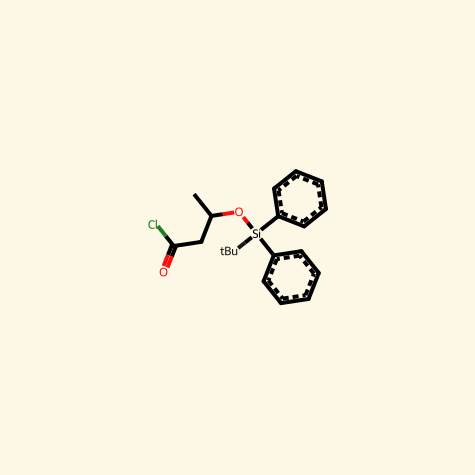 CC(CC(=O)Cl)O[Si](c1ccccc1)(c1ccccc1)C(C)(C)C